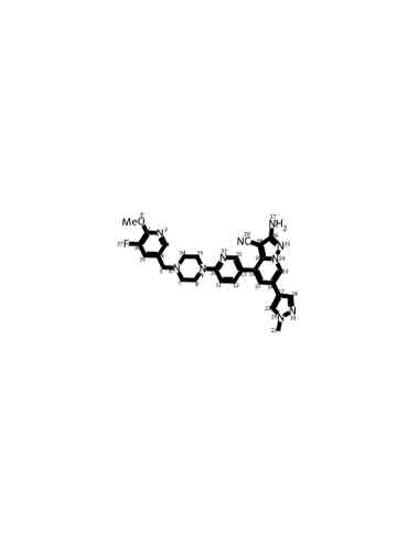 COc1ncc(CN2CCN(c3ccc(-c4cc(-c5cnn(C)c5)cn5nc(N)c(C#N)c45)cn3)CC2)cc1F